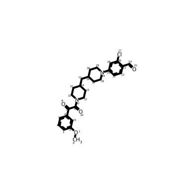 COc1cccc(C(=O)C(=O)N2CCC(CC3CCN(c4ccc(C=O)c(Cl)c4)CC3)CC2)c1